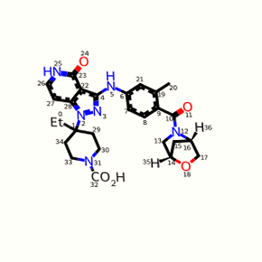 CCC1(n2nc(Nc3ccc(C(=O)N4C[C@@H]5C[C@H]4CO5)c(C)c3)c3c(=O)[nH]ccc32)CCN(C(=O)O)CC1